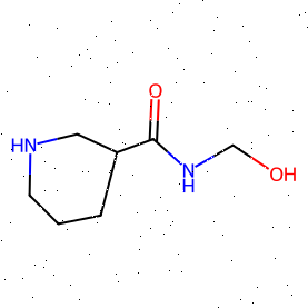 O=C(NCO)C1CCCNC1